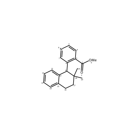 COC(=O)c1ccncc1C1c2ccccc2CCC1(C)C